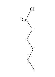 CCCC[CH2][Ge][Cl]